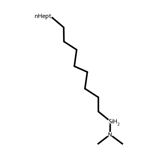 CCCCCCCCCCCCCCC[SiH2]N(C)C